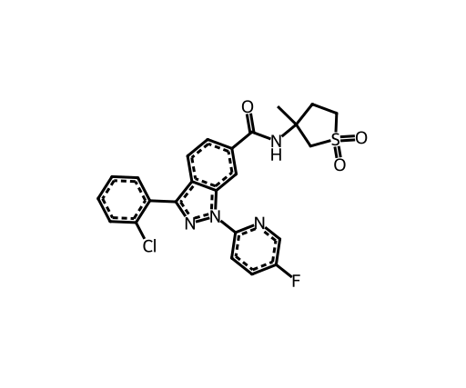 CC1(NC(=O)c2ccc3c(-c4ccccc4Cl)nn(-c4ccc(F)cn4)c3c2)CCS(=O)(=O)C1